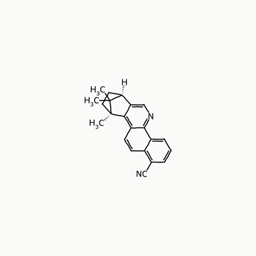 CC1(C)[C@H]2CC[C@]1(C)c1c2cnc2c1ccc1c(C#N)cccc12